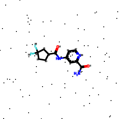 NC(=O)c1cc(NC(=O)C2CCC(F)(F)C2)ccn1